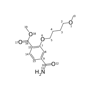 COCCCCOc1cc(C(N)=O)ccc1C(=O)OC